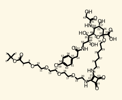 CC(C)(C)OC(=O)CCOCCOCCOCCOCCNc1c(NCCCCCCO[C@]2(C(=O)O)C[C@H](O)[C@@H](NC(=O)CO)[C@H]([C@H](O)[C@H](O)CNC(=O)Cc3ccc(Cl)cc3)O2)c(=O)c1=O